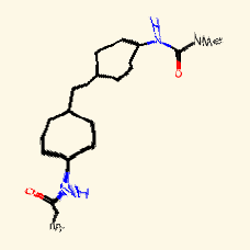 CCCC(=O)NC1CCC(CC2CCC(NC(=O)NC)CC2)CC1